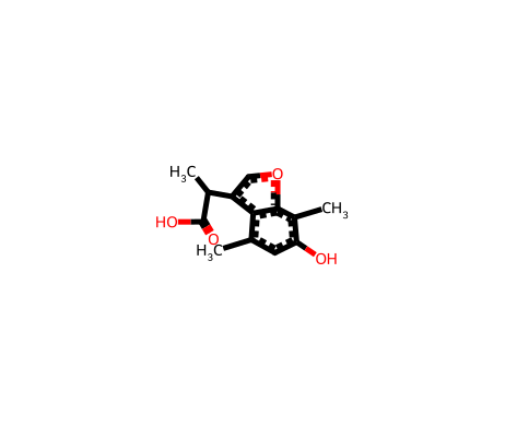 Cc1c(O)cc(C)c2c(C(C)C(=O)O)coc12